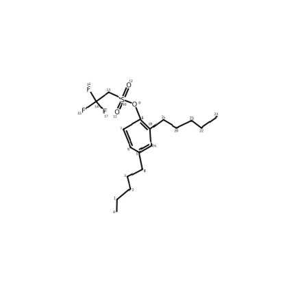 CCCCCc1ccc(OS(=O)(=O)CC(F)(F)F)c(CCCCC)c1